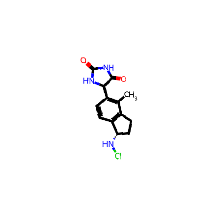 Cc1c(C2NC(=O)NC2=O)ccc2c1CC[C@@H]2NCl